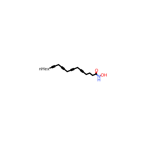 CCCCCCC#CCC#CCC#CCC#CCCCC(=O)NO